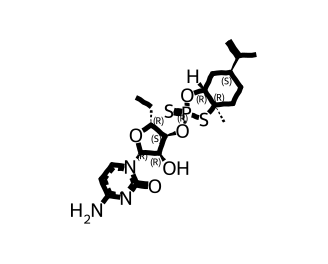 C=C(C)[C@H]1CC[C@@]2(C)S[P@](=S)(O[C@H]3[C@@H](O)[C@H](n4ccc(N)nc4=O)O[C@@H]3CC)O[C@@H]2C1